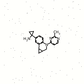 Cc1nccc(N2CC3CC3c3cc(C4(N)CC4)ccc32)n1